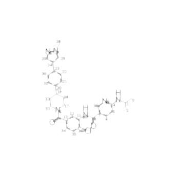 CC(C)Nc1ccc(C(=O)Nc2cc(C(=O)N3CCC(c4ccc(-c5cnn(C)c5)cc4)CC3)ccc2Cl)cn1